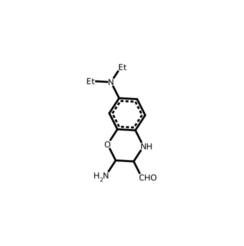 CCN(CC)c1ccc2c(c1)OC(N)C(C=O)N2